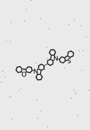 c1ccc2c(c1)oc1cc(-n3c4ccccc4c4cc(-c5ccc6c(c5)c5ccccc5n6-c5ccc6sc7ccccc7c6c5)ccc43)ccc12